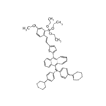 CCO[Si](OCC)(OCC)c1cc(OC)ccc1/C=C/c1ccc(-c2c3ccccc3c(N(c3ccc(C4CCCCC4)cc3)c3ccc(C4CCCCC4)cc3)c3ccccc23)s1